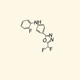 Fc1ccccc1Nc1ccc(-c2nnc(C(F)F)o2)cc1